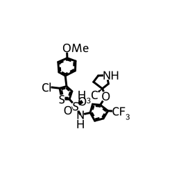 COc1ccc(-c2cc(S(=O)(=O)Nc3ccc(C(F)(F)F)c(O[C@]4(C)CCNC4)c3)sc2Cl)cc1